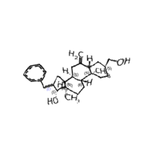 C=C1C[C@@H]2[C@H]3C/C(=C\c4ccccc4)[C@@H](O)[C@]3(C)CC[C@H]2[C@]2(C)CC[C@H](CO)C[C@@H]12